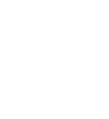 FCCCCC(F)C(F)C(F)F